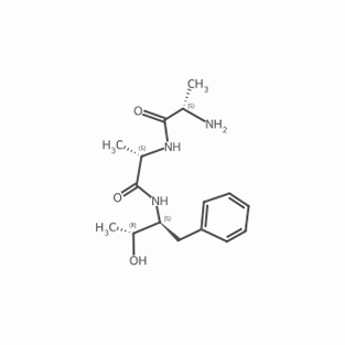 C[C@H](N)C(=O)N[C@@H](C)C(=O)N[C@@H](Cc1ccccc1)[C@@H](C)O